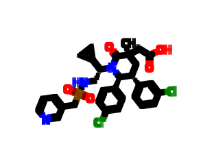 C[C@@]1(CC(=O)O)C[C@H](c2cccc(Cl)c2)[C@@H](c2ccc(Cl)cc2)N([C@H](CNS(=O)(=O)Cc2cccnc2)C2CC2)C1=O